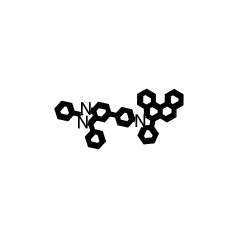 c1ccc(-c2nc(-c3ccccc3)c3cc(-c4ccc(-n5c6ccccc6c6c7ccc8ccccc8c7c7ccccc7c65)cc4)ccc3n2)cc1